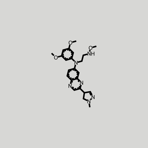 CONCCN(c1cc(OC)cc(OC)c1)c1ccc2ncc(C3C=NN(C)C3)nc2c1